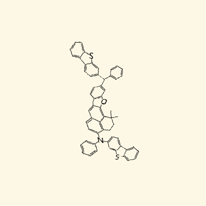 CC1(C)CCc2c(N(c3ccccc3)c3ccc4c(c3)sc3ccccc34)ccc3cc4c(oc5cc(C(c6ccccc6)c6ccc7c(c6)sc6ccccc67)ccc54)c1c23